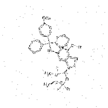 CCOc1nc(NC(c2ccccc2)(c2ccccc2)c2ccc(OC)cc2)nc2c1ncn2[C@H]1O[C@](F)(CC)[C@@H](C)[C@@]1(C)F